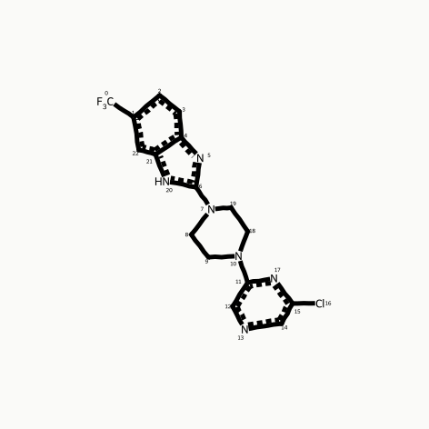 FC(F)(F)c1ccc2nc(N3CCN(c4cncc(Cl)n4)CC3)[nH]c2c1